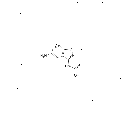 Nc1ccc2onc(NC(=O)O)c2c1